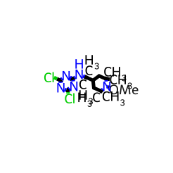 CON1C(C)(C)CC(C(C)(C)Nc2nc(Cl)nc(Cl)n2)CC1(C)C